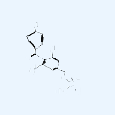 CC(C)(C)[Si](C)(C)OCc1cc(Cl)c(C(=O)c2ccc(Cl)cc2)c(Cl)c1